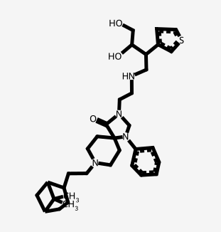 CC1(C)C2CCC(CCN3CCC4(CC3)C(=O)N(CCNCC(c3ccsc3)C(O)CO)CN4c3ccccc3)C1C2